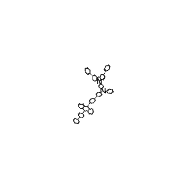 c1ccc(-c2ccc(-c3c4ccccc4c(-c4ccc(-c5ccc(N(c6ccccc6)c6ccc(-n7c8ccc(-c9ccccc9)cc8c8cc(-c9ccccc9)ccc87)cc6)cc5)cc4)c4ccccc34)cc2)cc1